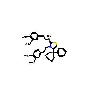 Br.COc1ccc(CCN=c2scc(C3(c4ccccc4)CCCCC3)n2CCc2ccc(OC)c(OC)c2)cc1OC